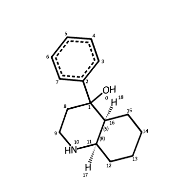 OC1(c2ccccc2)CCN[C@@H]2CCCC[C@@H]21